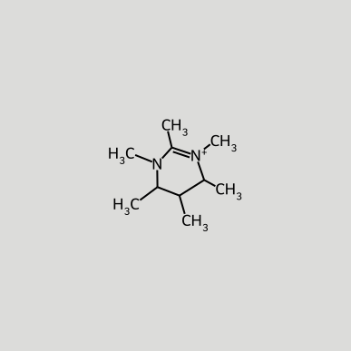 CC1=[N+](C)C(C)C(C)C(C)N1C